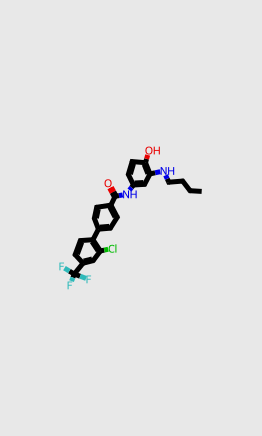 CCCCNc1cc(NC(=O)c2ccc(-c3ccc(C(F)(F)F)cc3Cl)cc2)ccc1O